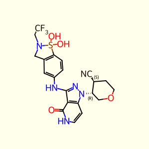 N#C[C@H]1CCOC[C@@H]1n1nc(Nc2ccc3c(c2)CN(CC(F)(F)F)S3(O)O)c2c(=O)[nH]ccc21